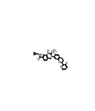 Cc1cc2c(cc1N1Cc3ccc(C(=O)NC4CC4)cc3NC1=O)OC(c1ncccc1F)CC2